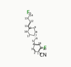 N#Cc1ccc(CC[C@H]2CC[C@H](C=CCCF)CC2)cc1F